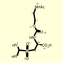 CCCC(CCC)S(=O)(=O)C[C@@H](NC(=O)OCCNC(C)=O)C(=O)O